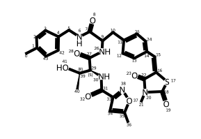 Cc1ccc(CNC(=O)C(Cc2ccc(C=C3SC(=O)N(C)C3=O)cc2)NC(=O)[C@@H](NC(=O)c2cc(C)on2)[C@@H](C)O)cc1